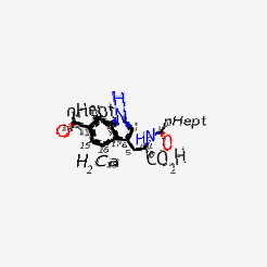 CCCCCCCC(=O)N[C@@H](Cc1c[nH]c2cc(C(=O)CCCCCCC)ccc12)C(=O)O.[CaH2]